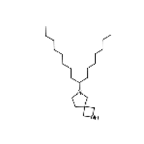 CCCCCCCCC(CCCCCCC)N1CCC2(CNC2)C1